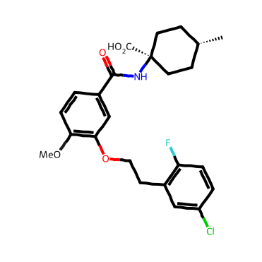 COc1ccc(C(=O)N[C@]2(C(=O)O)CC[C@@H](C)CC2)cc1OCCc1cc(Cl)ccc1F